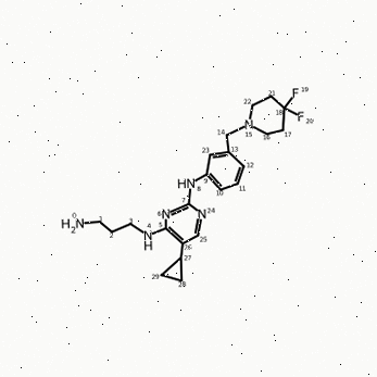 NCCCNc1nc(Nc2cccc(CN3CCC(F)(F)CC3)c2)ncc1C1CC1